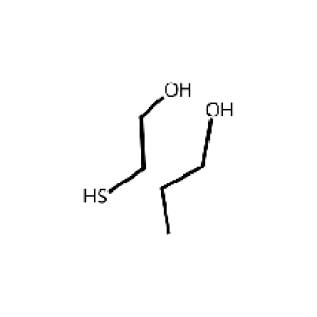 CCCO.OCCS